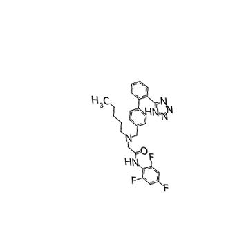 CCCCCN(CC(=O)Nc1c(F)cc(F)cc1F)Cc1ccc(-c2ccccc2-c2nnn[nH]2)cc1